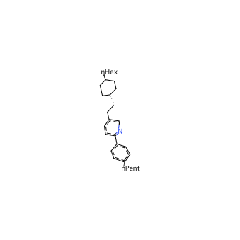 CCCCCC[C@H]1CC[C@H](CCc2ccc(-c3ccc(CCCCC)cc3)nc2)CC1